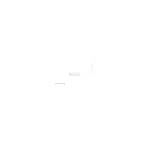 O=C(F)C(=O)F.OB(O)O.[Li]